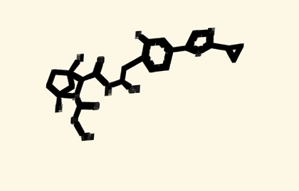 CC(C)(C)OC(=O)N1[C@@H]2CC[C@@H](C2)[C@H]1C(=O)N[C@H](C#N)Cc1ccc(-c2cnc(C3CC3)s2)cc1F